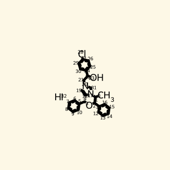 CC(C(OCc1ccccc1)c1ccccc1)N1C=CN(CC(O)c2ccc(Cl)cc2)C1.I